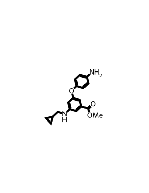 COC(=O)c1cc(NCC2CC2)cc(Oc2ccc(N)cc2)c1